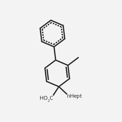 CCCCCCCC1(C(=O)O)C=CC(c2ccccc2)C(C)=C1